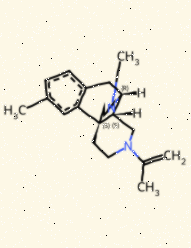 C=C(C)N1CC[C@]23CCCN(C)[C@H](Cc4ccc(C)cc42)[C@@H]3C1